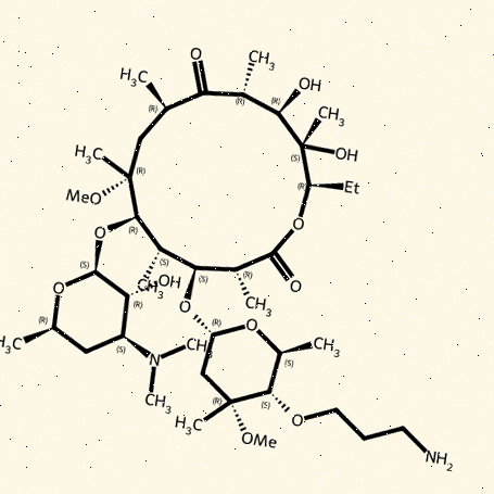 CC[C@H]1OC(=O)[C@H](C)[C@@H](O[C@H]2C[C@@](C)(OC)[C@@H](OCCCN)[C@H](C)O2)[C@H](C)[C@@H](O[C@@H]2O[C@H](C)C[C@H](N(C)C)[C@H]2O)[C@](C)(OC)C[C@@H](C)C(=O)[C@H](C)[C@@H](O)[C@]1(C)O